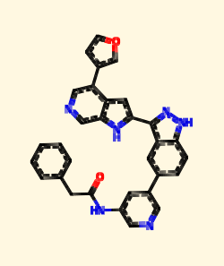 O=C(Cc1ccccc1)Nc1cncc(-c2ccc3[nH]nc(-c4cc5c(-c6ccoc6)cncc5[nH]4)c3c2)c1